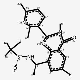 Cc1cc([C@@H](C)N[S@+]([O-])C(C)(C)C)c2nc(-c3ccc(C)nc3C)n(C)c(=O)c2c1